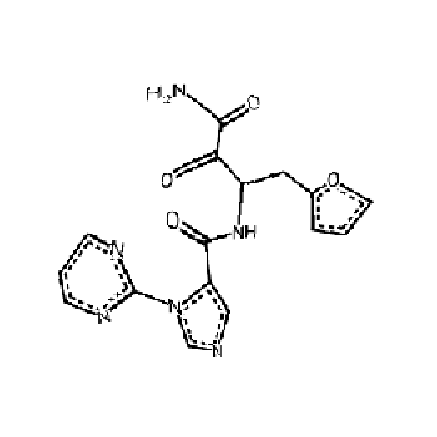 NC(=O)C(=O)C(Cc1ccco1)NC(=O)c1cncn1-c1ncccn1